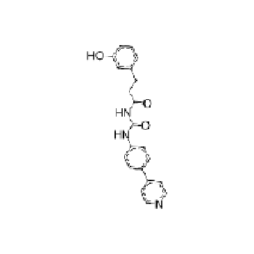 O=C(CCc1cccc(O)c1)NC(=O)Nc1ccc(-c2ccncc2)cc1